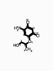 CC(CO)Oc1cc(N)c(Cl)cc1Cl